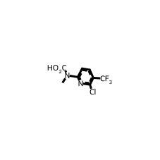 CN(C(=O)O)c1ccc(C(F)(F)F)c(Cl)n1